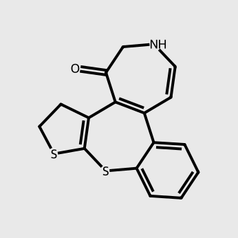 O=C1CNC=CC2=C1C1=C(SCC1)Sc1ccccc12